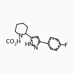 O=C(O)N1CCCCC1c1cc(-c2ccc(F)cc2)n[nH]1